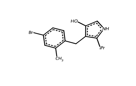 Cc1cc(Br)ccc1Cc1c(O)c[nH]c1C(C)C